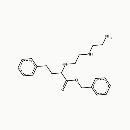 NCCNCCNC(CCc1ccccc1)C(=O)OCc1ccccc1